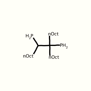 CCCCCCCCC(P)C(P)(CCCCCCCC)CCCCCCCC